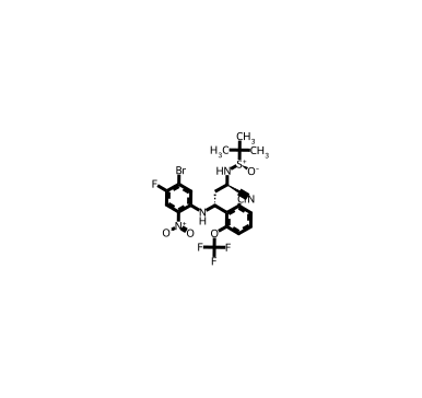 CC(C)(C)[S@@+]([O-])N[C@@H](C#N)C[C@@H](Nc1cc(Br)c(F)cc1[N+](=O)[O-])c1c(Cl)cccc1OC(F)(F)F